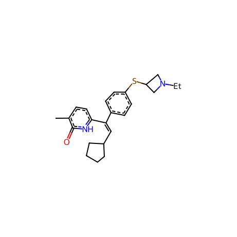 CCN1CC(Sc2ccc(/C(=C/C3CCCC3)c3ccc(C)c(=O)[nH]3)cc2)C1